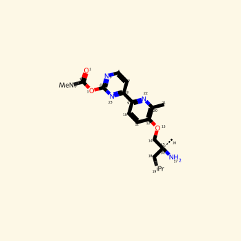 CNC(=O)Oc1nccc(-c2ccc(OC[C@@](C)(N)CC(C)C)c(C)n2)n1